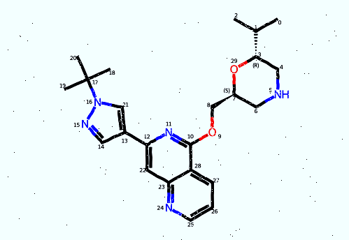 CC(C)[C@@H]1CNC[C@@H](COc2nc(-c3cnn(C(C)(C)C)c3)cc3ncccc23)O1